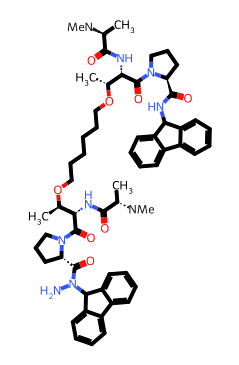 CN[C@@H](C)C(=O)N[C@H](C(=O)N1CCC[C@H]1C(=O)NC1c2ccccc2-c2ccccc21)[C@@H](C)OCCCCCCO[C@H](C)[C@H](NC(=O)[C@H](C)NC)C(=O)N1CCC[C@H]1C(=O)N(N)C1c2ccccc2-c2ccccc21